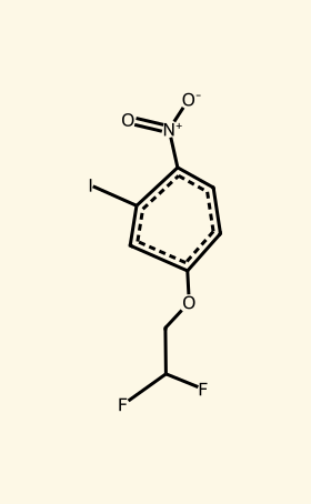 O=[N+]([O-])c1ccc(OCC(F)F)cc1I